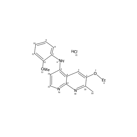 CCOc1cc2c(Nc3ccccc3OC)ccnc2nc1C.Cl